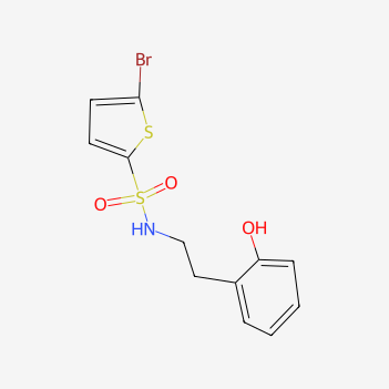 O=S(=O)(NCCc1ccccc1O)c1ccc(Br)s1